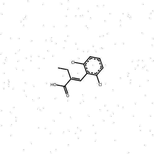 CC/C(=C\c1c(Cl)cccc1Cl)C(=O)O